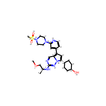 COC[C@H](C)Nc1ncc2c(-c3ccnc(N4CCN(S(C)(=O)=O)CC4)c3)cc([C@H]3CC[C@H](O)CC3)n2n1